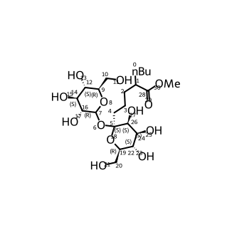 CCCCC(CCC[C@@]1(OC2O[C@H](CO)[C@@H](O)[C@H](O)[C@H]2O)O[C@H](CO)[C@@H](O)[C@H](O)[C@@H]1O)C(=O)OC